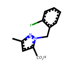 Cc1cc(C(=O)O)n(Cc2ccccc2F)n1